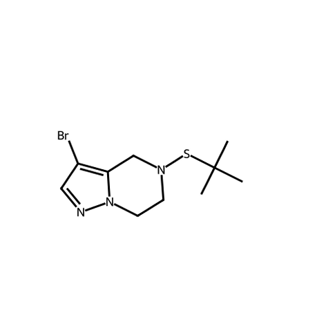 CC(C)(C)SN1CCn2ncc(Br)c2C1